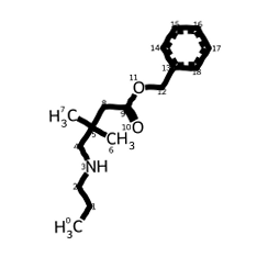 CCCNCC(C)(C)CC(=O)OCc1ccccc1